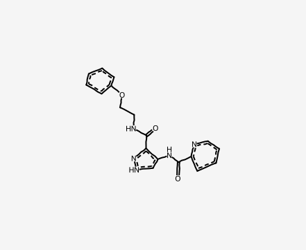 O=C(Nc1c[nH]nc1C(=O)NCCOc1ccccc1)c1ccccn1